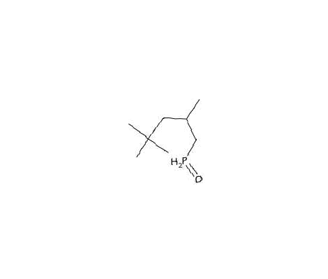 CC(C[PH2]=O)CC(C)(C)C